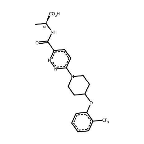 C[C@H](NC(=O)c1ccc(N2CCC(Oc3ccccc3C(F)(F)F)CC2)nn1)C(=O)O